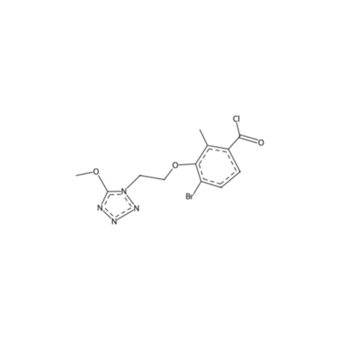 COc1nnnn1CCOc1c(Br)ccc(C(=O)Cl)c1C